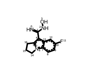 N=C(NO)c1c2n(c3ccc(F)cc13)CCC2